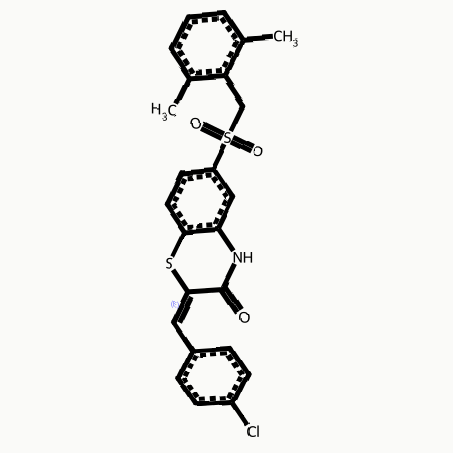 Cc1cccc(C)c1CS(=O)(=O)c1ccc2c(c1)NC(=O)/C(=C\c1ccc(Cl)cc1)S2